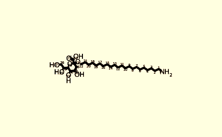 NCCCCCCCCCCCCCCCCCCCCCCO[C@]1(C(=O)O)C[C@@H](O)[C@@H](O)[C@@H]([C@H](O)CO)O1